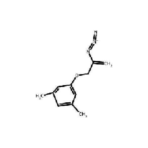 C=C(COc1cc(C)cc(C)c1)N=[N+]=[N-]